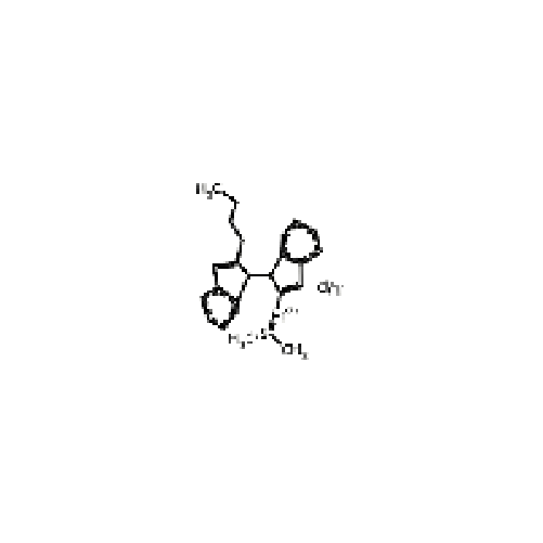 CCCCC1=Cc2ccccc2C1C1[C]([Hf+2]=[Si](C)C)=Cc2ccccc21.[Cl-].[Cl-]